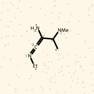 CCN=C=C(N)C(C)NC